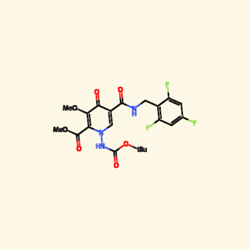 COC(=O)c1c(OC)c(=O)c(C(=O)NCc2c(F)cc(F)cc2F)cn1NC(=O)OC(C)(C)C